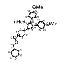 CCCCCCn1c(C2CCN(C(=O)OCc3ccccc3)CC2)cc(-c2ccc(OC)cc2)c1-c1ccc(OC)cc1